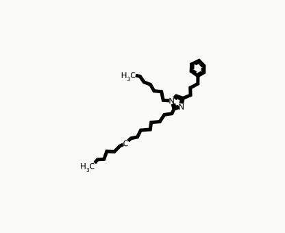 CCCCCCCCCCCCCCCc1nc(CCCc2ccccc2)cn1CCCCCCC